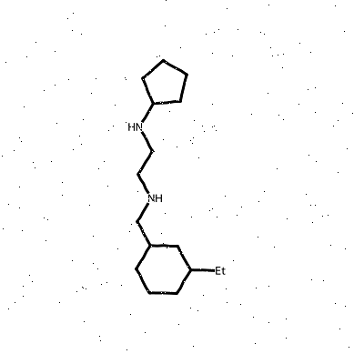 CCC1CCCC(CNCCNC2CCCC2)C1